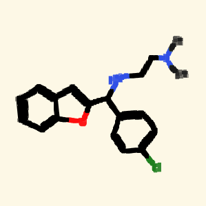 CCN(CC)CCNC(c1ccc(Cl)cc1)c1cc2ccccc2o1